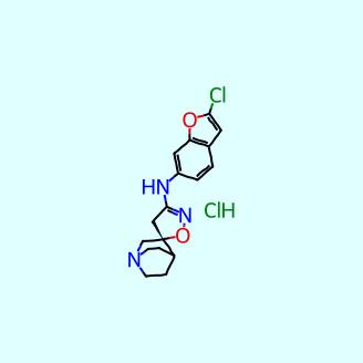 Cl.Clc1cc2ccc(NC3=NO[C@@]4(C3)CN3CCC4CC3)cc2o1